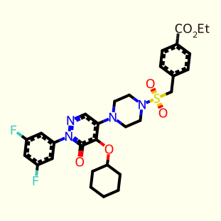 CCOC(=O)c1ccc(CS(=O)(=O)N2CCN(c3cnn(-c4cc(F)cc(F)c4)c(=O)c3OC3CCCCC3)CC2)cc1